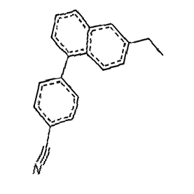 CCc1ccc2c(-c3ccc(C#N)cc3)cccc2c1